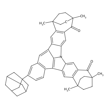 CC12CCC(C)(CC1)c1cc3c4cc5cc(C67CC8CC(CC(C8)C6)C7)ccc5c5c6cc7c(cc6n(c3cc1C2=O)c45)C(=O)C1(C)CCC7(C)CC1